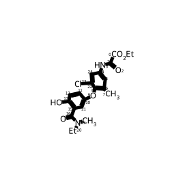 CCOC(=O)C(=O)Nc1cc(C)c(Oc2ccc(O)c(C(=O)N(C)CC)c2)c(Cl)c1